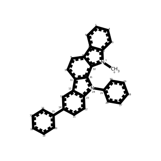 Cn1c2ccccc2c2ccc3c4cc(-c5ccccc5)ccc4n(-c4ccccc4)c3c21